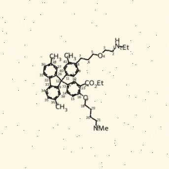 CCNCCOCCCc1ccc(C2(c3ccc(OCCCCNC)c(C(=O)OCC)c3)c3cc(C)ccc3-c3ccc(C)cc32)cc1C